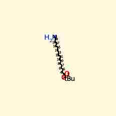 CC(C)(C)OC(=O)CCCCCCCCCCCCCCCCN